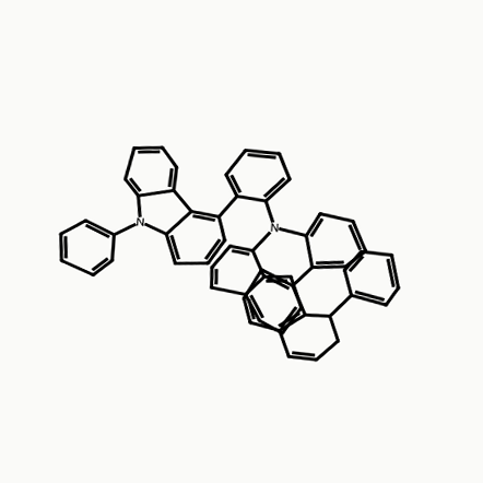 C1=Cc2cccc(-c3ccccc3N(c3ccccc3-c3cccc4c3c3ccccc3n4-c3ccccc3)c3cccc4ccccc34)c2C(c2ccccc2)C1